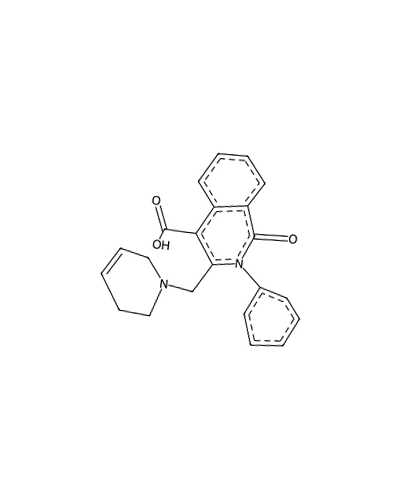 O=C(O)c1c(CN2CC=CCC2)n(-c2ccccc2)c(=O)c2ccccc12